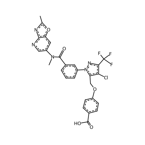 Cc1nc2ncc(N(C)C(=O)c3cccc(-n4nc(C(F)(F)F)c(Cl)c4COc4ccc(C(=O)O)cc4)c3)cc2o1